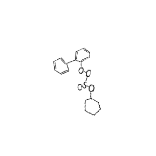 O=S(OOc1ccccc1-c1ccccc1)OC1CCCCC1